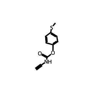 C#CNC(=O)Oc1ccc(SC)cc1